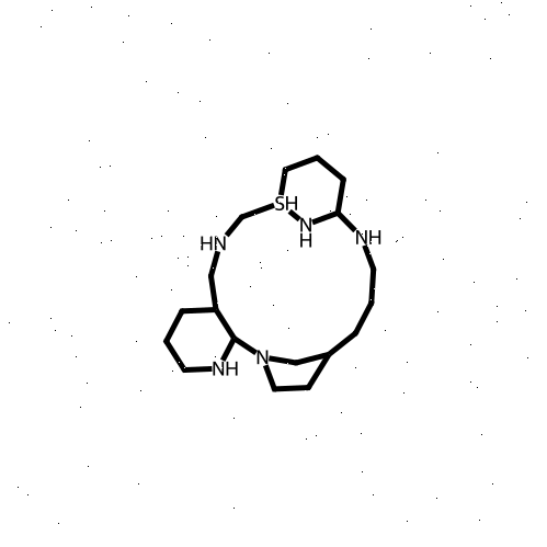 C1CNC2CCC[SH](CNCC3CCCNC3N3CCC(C1)C3)N2